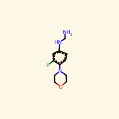 NCNc1ccc(N2CCOCC2)c(F)c1